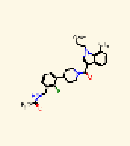 COCCn1cc(C(=O)N2CCC(c3cccc(CNC(=O)C(F)(F)F)c3F)CC2)c2cccc(C)c21